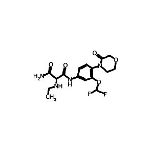 CCN[C@@H](C(N)=O)C(=O)Nc1ccc(N2CCOCC2=O)c(OC(F)F)c1